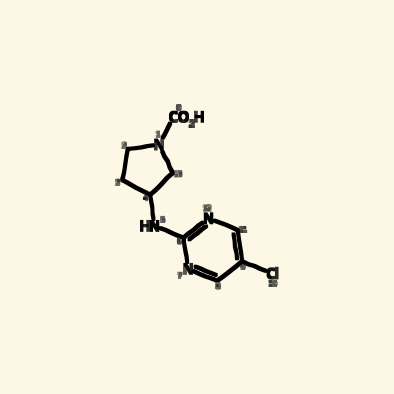 O=C(O)N1CCC(Nc2ncc(Cl)cn2)C1